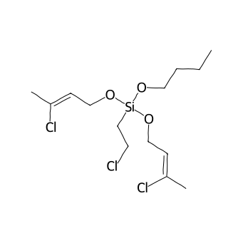 CCCCO[Si](CCCl)(OCC=C(C)Cl)OCC=C(C)Cl